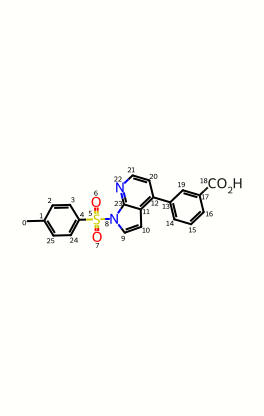 Cc1ccc(S(=O)(=O)n2ccc3c(-c4cccc(C(=O)O)c4)ccnc32)cc1